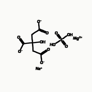 O=C([O-])CC(O)(CC(=O)[O-])C(=O)[O-].O=S(=O)(O)O.[Mg+2].[Na+]